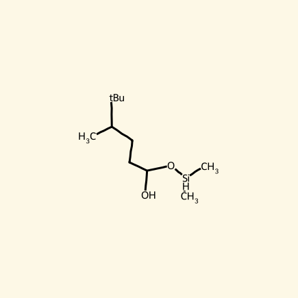 CC(CCC(O)O[SiH](C)C)C(C)(C)C